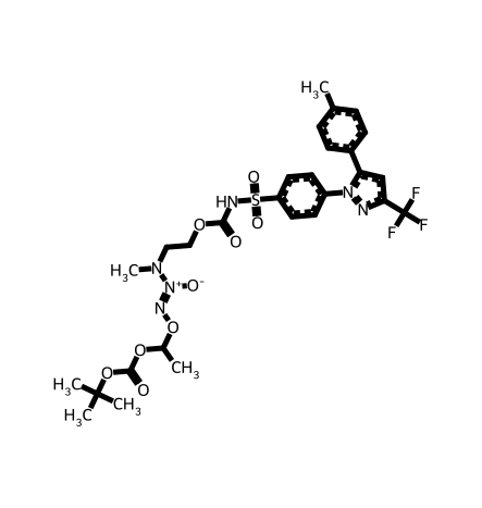 Cc1ccc(-c2cc(C(F)(F)F)nn2-c2ccc(S(=O)(=O)NC(=O)OCCN(C)[N+]([O-])=NOC(C)OC(=O)OC(C)(C)C)cc2)cc1